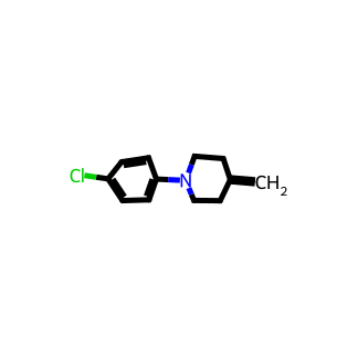 C=C1CCN(c2ccc(Cl)cc2)CC1